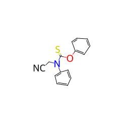 N#CCN(C(=S)Oc1ccccc1)c1ccccc1